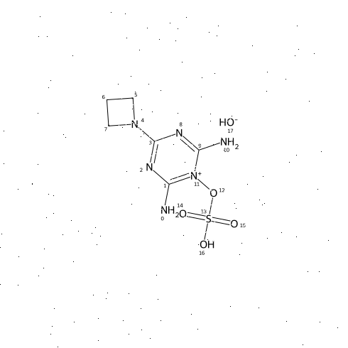 Nc1nc(N2CCC2)nc(N)[n+]1OS(=O)(=O)O.[OH-]